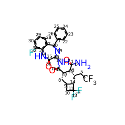 NC(=O)[C@H](CCC(F)(F)F)[C@H](CC1CC(F)(F)C1)C(=O)N[C@H]1N=C(c2ccccc2)c2cccc(F)c2NC1=O